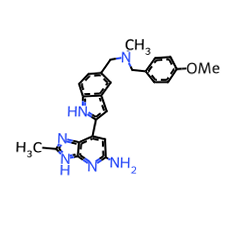 COc1ccc(CN(C)Cc2ccc3[nH]c(-c4cc(N)nc5[nH]c(C)nc45)cc3c2)cc1